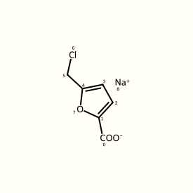 O=C([O-])c1ccc(CCl)o1.[Na+]